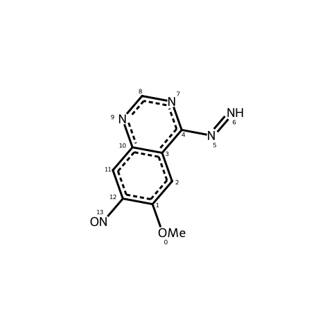 COc1cc2c(N=N)ncnc2cc1N=O